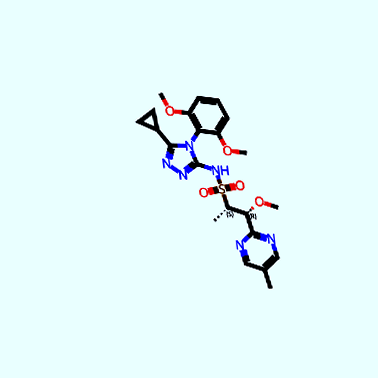 COc1cccc(OC)c1-n1c(NS(=O)(=O)[C@@H](C)[C@H](OC)c2ncc(C)cn2)nnc1C1CC1